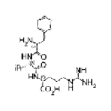 CC(C)[C@H](NC(=O)[C@@H](N)Cc1ccccc1)C(=O)N[C@@H](CCCNC(=N)N)C(=O)O